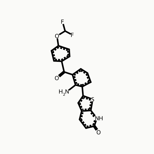 Nc1c(C(=O)c2ccc(OC(F)F)cc2)cccc1-c1cc2ccc(=O)[nH]c2s1